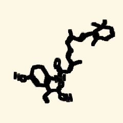 CCC(C(=O)O)c1cc(O)ccc1NC(=O)C=C(C)C=CC=C(C)C=CC1=C(C)CCCC1(C)C